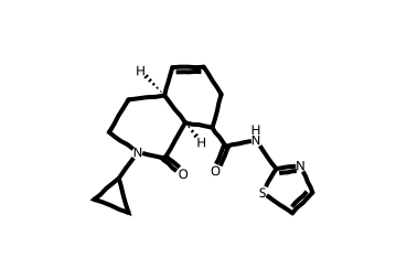 O=C(Nc1nccs1)C1CC=C[C@@H]2CCN(C3CC3)C(=O)[C@H]12